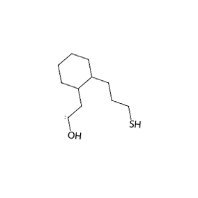 O[C]CC1CCCCC1CCCS